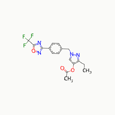 CCc1nn(Cc2ccc(-c3noc(C(F)(F)F)n3)cc2)cc1OC(C)=O